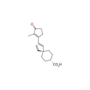 C=C[C@]1(/C=C/C2=C(C)C(=O)CC2)CC[C@@H](C(=O)O)CC1